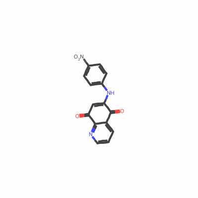 O=C1C(Nc2ccc([N+](=O)[O-])cc2)=CC(=O)c2ncccc21